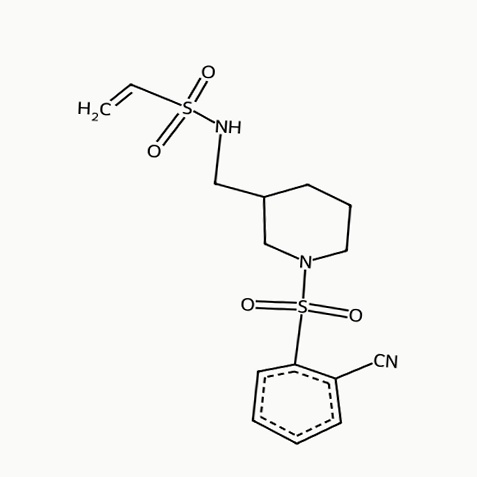 C=CS(=O)(=O)NCC1CCCN(S(=O)(=O)c2ccccc2C#N)C1